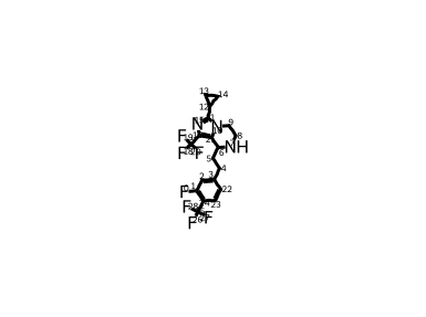 Fc1cc(CCC2NCCn3c(C4CC4)nc(C(F)(F)F)c32)ccc1C(F)(F)F